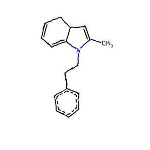 CC1=CC2CC=CC=C2N1CCc1ccccc1